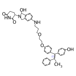 CC/C(=C(\c1ccc(O)cc1)c1ccc(OCCOCCCNc2ccc3c(c2)CN(C2CCC(=O)NC2=O)C3O)cc1)c1ccccc1